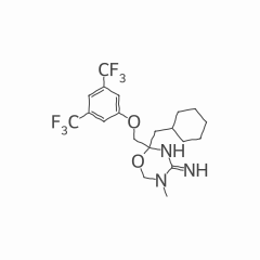 CN1COC(COc2cc(C(F)(F)F)cc(C(F)(F)F)c2)(CC2CCCCC2)NC1=N